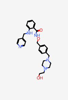 O=C(NOCc1ccc(CN2CCN(CCO)CC2)cc1)c1ccccc1NCc1ccncc1